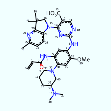 C=CC(=O)Nc1cc(Nc2ncc(C(=O)O)c(N3CC(C)(C)c4nc(C)ccc43)n2)c(OC)cc1N1CCC[C@H](N(C)C)C1